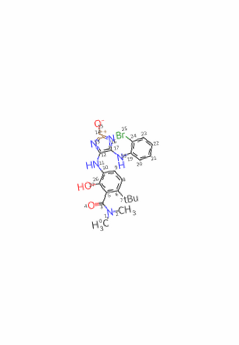 CN(C)C(=O)c1c(C(C)(C)C)ccc(Nc2n[s+]([O-])nc2Nc2ccccc2Br)c1O